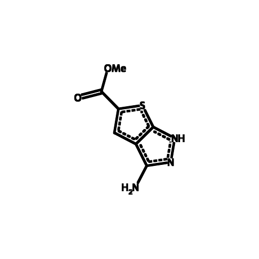 COC(=O)c1cc2c(N)n[nH]c2s1